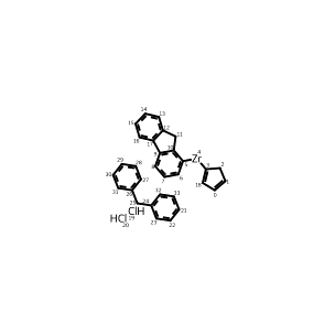 C1=CC[C]([Zr][c]2cccc3c2Cc2ccccc2-3)=C1.Cl.Cl.c1ccc(Cc2ccccc2)cc1